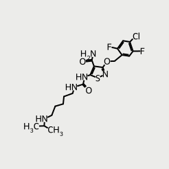 CC(C)NCCCCCNC(=O)Nc1snc(OCc2cc(F)c(Cl)cc2F)c1C(N)=O